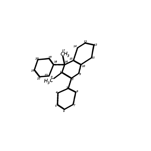 CC1C(C2CCCCC2)CC2CCCCC2C1(C)C1CCCCC1